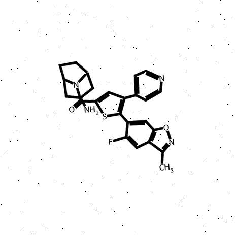 Cc1noc2cc(-c3sc(C(=O)N4C5CCC4CC(N)C5)cc3-c3ccncc3)c(F)cc12